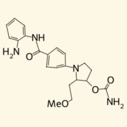 COCCC1C(OC(N)=O)CCN1c1ccc(C(=O)Nc2ccccc2N)cc1